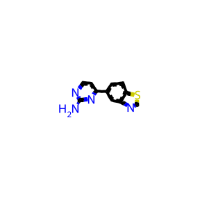 Nc1nccc(-c2ccc3scnc3c2)n1